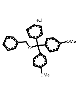 COc1ccc(C(OCc2ccccc2)(c2ccccc2)c2ccc(OC)cc2)cc1.Cl